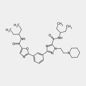 CCC(CC)NC(=O)c1cnc(-c2cccc(-c3nc(C(=O)NC(CC)CC)n(CCN4CCCCC4)n3)c2)o1